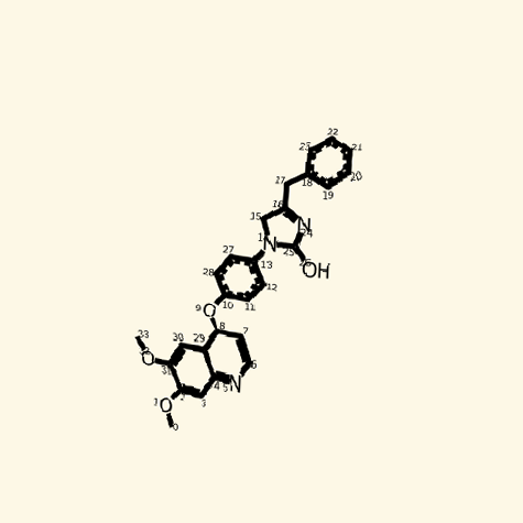 COC1=CC2=NC=C[C@H](Oc3ccc(N4CC(Cc5ccccc5)=NC4O)cc3)C2C=C1OC